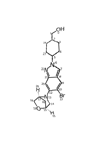 OCC1CCC(n2cc3cc(Br)c(N4C[C@@H]5C[C@H]4CO5)cc3n2)CC1